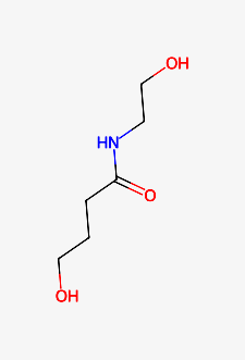 O=C(CCCO)NCCO